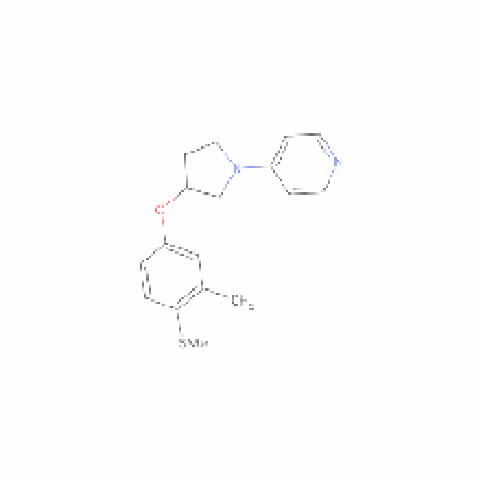 CSc1ccc(OC2CCN(c3ccncc3)C2)cc1C